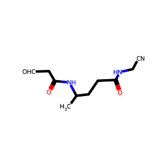 CC(CCC(=O)NCC#N)NC(=O)CC=O